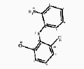 Nc1ccccc1Sc1c(Cl)cccc1Cl